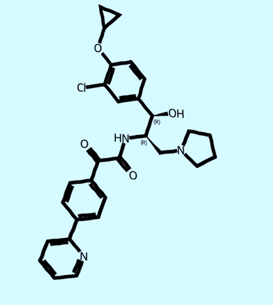 O=C(N[C@H](CN1CCCC1)[C@H](O)c1ccc(OC2CC2)c(Cl)c1)C(=O)c1ccc(-c2ccccn2)cc1